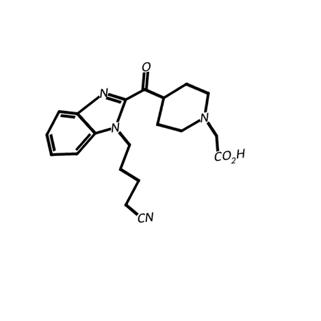 N#CCCCCn1c(C(=O)C2CCN(CC(=O)O)CC2)nc2ccccc21